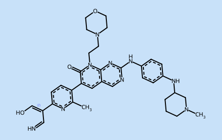 Cc1nc(/C(C=N)=C/O)ccc1-c1cc2cnc(Nc3ccc(NC4CCCN(C)C4)cc3)nc2n(CCN2CCOCC2)c1=O